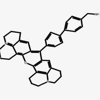 NCc1ccc(-c2ccc(C3=c4cc5c6c(c4Oc4c3cc3c7c4CCCN7CCC3)CCC[N+]=6CCC5)cc2)cc1